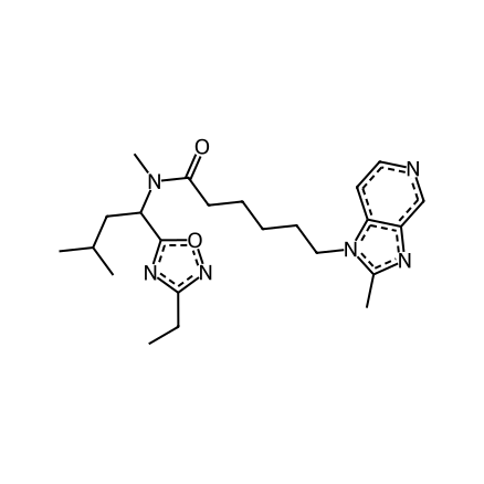 CCc1noc(C(CC(C)C)N(C)C(=O)CCCCCn2c(C)nc3cnccc32)n1